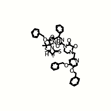 C[C@H]1C(=S)N2[C@@H]1SC(C)(C)[C@]2(NC(=O)C(NC(=O)N1CCN(Cc2cc(OCc3ccccc3)c(OCc3ccccc3)cn2)C(=O)C1=O)c1ccccc1)C(=O)OCc1ccccc1